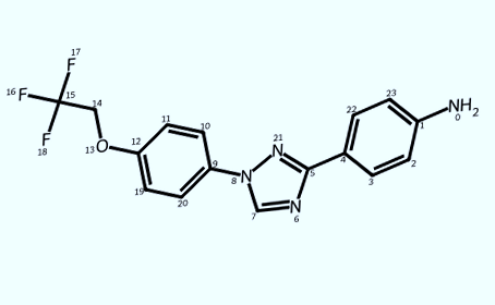 Nc1ccc(-c2ncn(-c3ccc(OCC(F)(F)F)cc3)n2)cc1